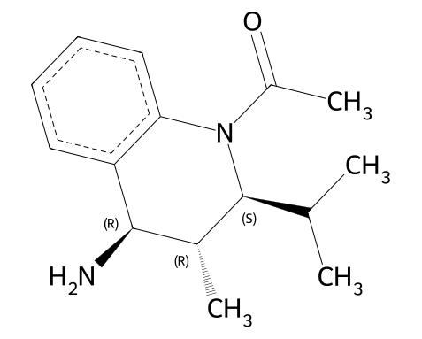 CC(=O)N1c2ccccc2[C@H](N)[C@@H](C)[C@@H]1C(C)C